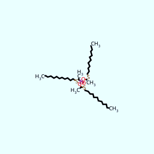 CCCCCCCCCCCCSC(C)OP(=O)(OC(C)SCCCCCCCCCCCC)C(C)SCCCCCCCCCCCC